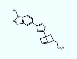 CC(C)n1nnc2cc(-c3noc(C45CC=C4C(CC(=O)O)C5)n3)ccc21